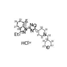 CCc1nn(-c2noc(C3CCN(CC4CCOCC4)CC3)n2)c2c(F)cccc12.Cl